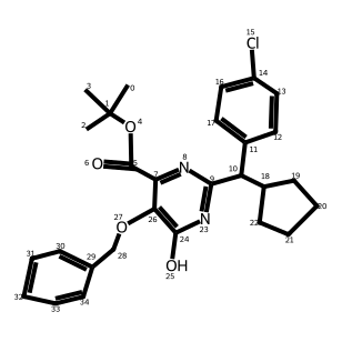 CC(C)(C)OC(=O)c1nc(C(c2ccc(Cl)cc2)C2CCCC2)nc(O)c1OCc1ccccc1